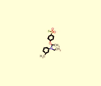 CCN(c1cccc(C)c1)C(C)Oc1ccc(S(=O)(=O)F)cc1